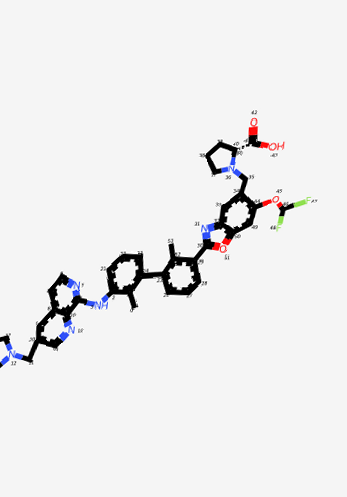 Cc1c(Nc2nccc3cc(CN4CCC(O)C4)cnc23)cccc1-c1cccc(-c2nc3cc(CN4CCC[C@@H]4C(=O)O)c(OC(F)F)cc3o2)c1C